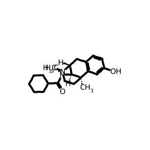 CN1CC[C@]2(C)c3cc(O)ccc3C[C@@H]1[C@@H]2N(C)C(=O)C1CCCCC1